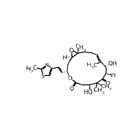 CC[C@H]1C(=O)C(C)(C)[C@@H](O)CC(=O)O[C@H](C=Cc2csc(C)n2)C[C@H]2O[C@]2(C)CC/C=C(\C)[C@@H]1O